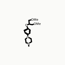 COCC(COC)Oc1ccc(N2CCN(C)CC2)cc1